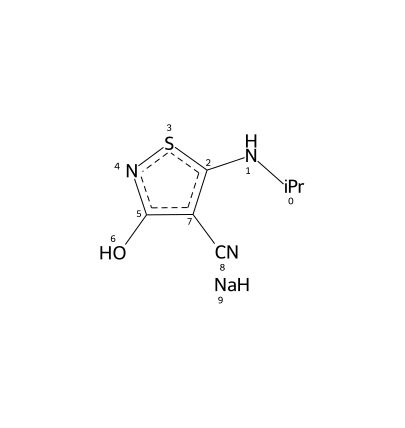 CC(C)Nc1snc(O)c1C#N.[NaH]